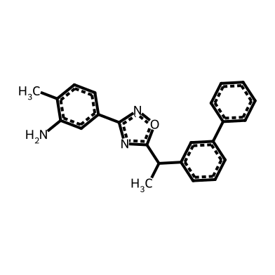 Cc1ccc(-c2noc(C(C)c3cccc(-c4ccccc4)c3)n2)cc1N